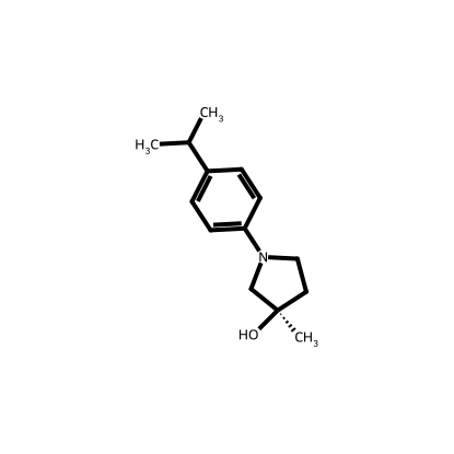 CC(C)c1ccc(N2CC[C@@](C)(O)C2)cc1